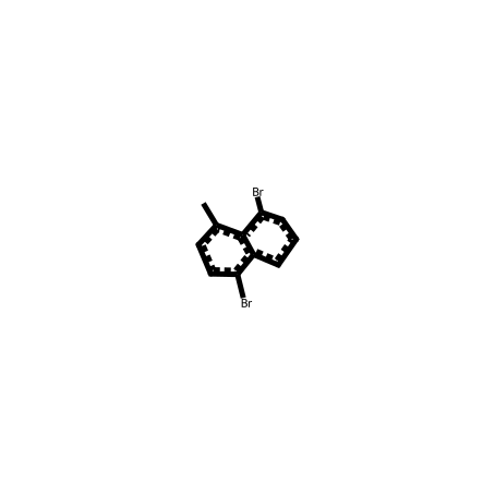 Cc1ccc(Br)c2cccc(Br)c12